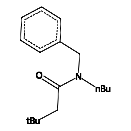 CCCCN(Cc1ccccc1)C(=O)CC(C)(C)C